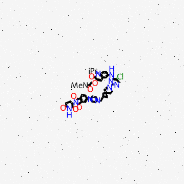 CNC(=O)COc1cc2cc(Nc3nc(N4CCC5(CC4)CC(CN4CCN(c6ccc7c(c6)C(=O)N(C6CCC(=O)NC6=O)C7=O)CC4)C5)ncc3Cl)ccc2n(C(C)C)c1=O